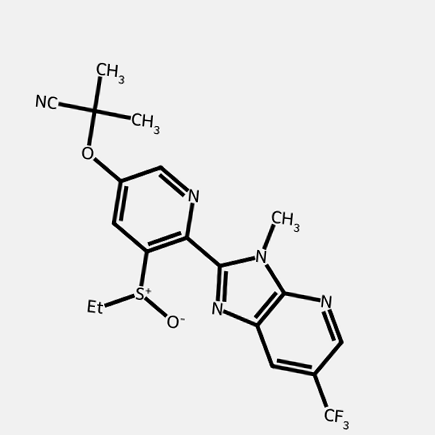 CC[S+]([O-])c1cc(OC(C)(C)C#N)cnc1-c1nc2cc(C(F)(F)F)cnc2n1C